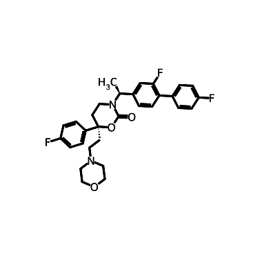 C[C@@H](c1ccc(-c2ccc(F)cc2)c(F)c1)N1CC[C@](CCN2CCOCC2)(c2ccc(F)cc2)OC1=O